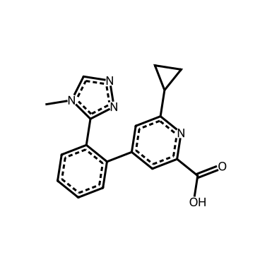 Cn1cnnc1-c1ccccc1-c1cc(C(=O)O)nc(C2CC2)c1